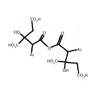 CC(=O)C(C(=O)OC(=O)C(C(C)=O)C(O)(CC(=O)O)C(=O)O)C(O)(CC(=O)O)C(=O)O